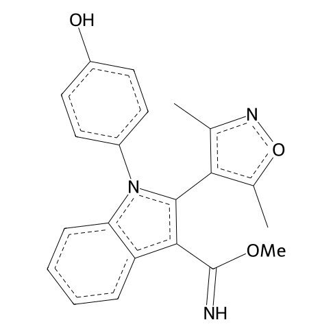 COC(=N)c1c(-c2c(C)noc2C)n(-c2ccc(O)cc2)c2ccccc12